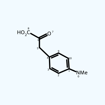 CNc1ccc(CC(=O)C(=O)O)cc1